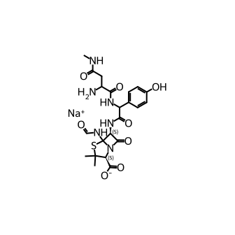 CNC(=O)CC(N)C(=O)NC(C(=O)N[C@H]1C(=O)N2[C@@H](C(=O)[O-])C(C)(C)SC12NC=O)c1ccc(O)cc1.[Na+]